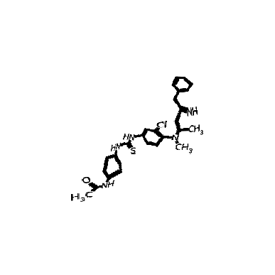 CC(=O)Nc1ccc(NC(=S)Nc2ccc(N(C)C(C)CC(=N)Cc3ccccc3)c(Cl)c2)cc1